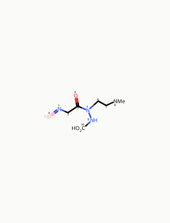 B=NCC(=O)N(CCNC)NC(=O)O